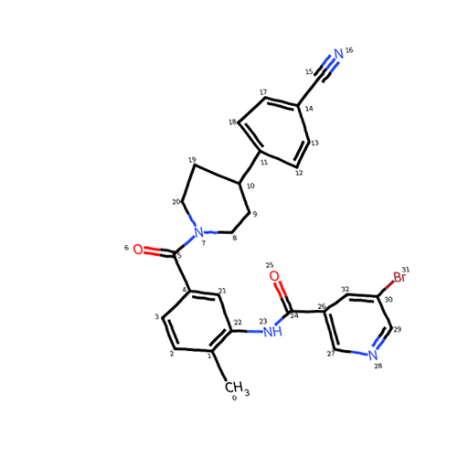 Cc1ccc(C(=O)N2CCC(c3ccc(C#N)cc3)CC2)cc1NC(=O)c1cncc(Br)c1